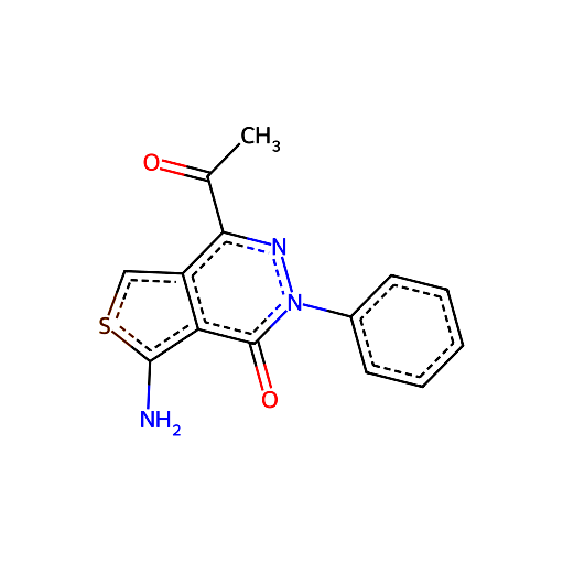 CC(=O)c1nn(-c2ccccc2)c(=O)c2c(N)scc12